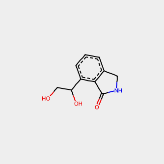 O=C1NCc2cccc(C(O)CO)c21